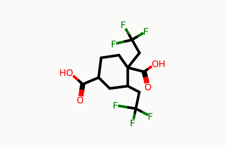 O=C(O)C1CCC(CC(F)(F)F)(C(=O)O)C(CC(F)(F)F)C1